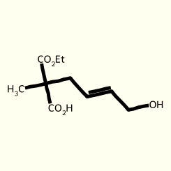 CCOC(=O)C(C)(CC=CCO)C(=O)O